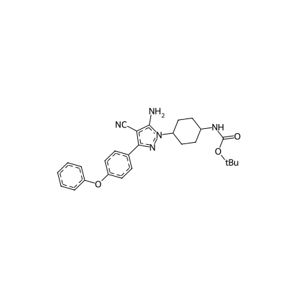 CC(C)(C)OC(=O)NC1CCC(n2nc(-c3ccc(Oc4ccccc4)cc3)c(C#N)c2N)CC1